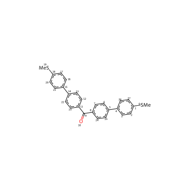 CSc1ccc(-c2ccc(C(=O)c3ccc(-c4ccc(SC)cc4)cc3)cc2)cc1